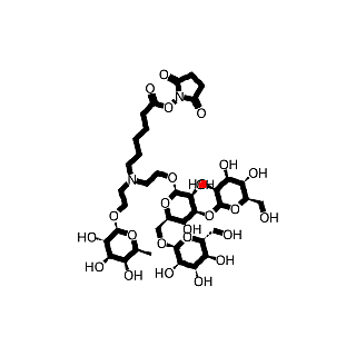 C[C@@H]1O[C@@H](OCCN(CCCCCC(=O)ON2C(=O)CCC2=O)CCO[C@H]2O[C@H](CO[C@H]3O[C@H](CO)[C@@H](O)[C@H](O)[C@@H]3O)[C@@H](O)[C@H](OC3O[C@H](CO)[C@@H](O)[C@H](O)[C@@H]3O)[C@@H]2O)[C@@H](O)[C@H](O)[C@@H]1O